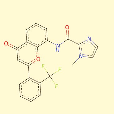 Cn1ccnc1C(=O)Nc1cccc2c(=O)cc(-c3ccccc3C(F)(F)F)oc12